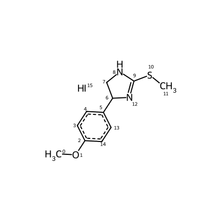 COc1ccc(C2CNC(SC)=N2)cc1.I